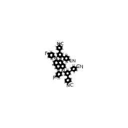 [C-]#[N+]c1ccc(-c2cc(-c3ccc(C#N)cc3)cc(N(c3ccc(F)cc3)c3ccc4ccc5c(N(c6ccc(F)cc6)c6cc(-c7ccc(C#N)cc7)cc(-c7ccc([N+]#[C-])cc7)c6)ccc6ccc3c4c65)c2)cc1